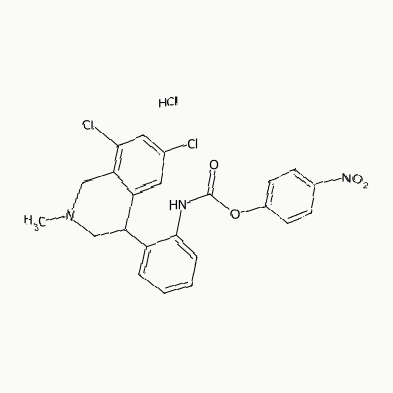 CN1Cc2c(Cl)cc(Cl)cc2C(c2ccccc2NC(=O)Oc2ccc([N+](=O)[O-])cc2)C1.Cl